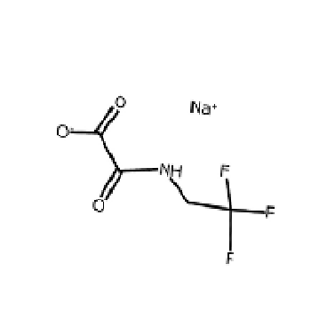 O=C([O-])C(=O)NCC(F)(F)F.[Na+]